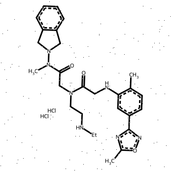 CCNCCN(CC(=O)N(C)N1Cc2ccccc2C1)C(=O)CNc1cc(-c2noc(C)n2)ccc1C.Cl.Cl